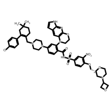 CC1(C)CCC(CN2CCN(c3ccc(C(=O)NS(=O)(=O)c4ccc(OC[C@H]5CN(C6COC6)CCO5)c([N+](=O)[O-])c4)c(N4CCOc5nc6[nH]ccc6cc54)c3)CC2)=C(c2ccc(Cl)cc2)C1